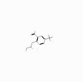 CC(=O)c1cc(C(C)(C)C)ccc1CC(C)CCl